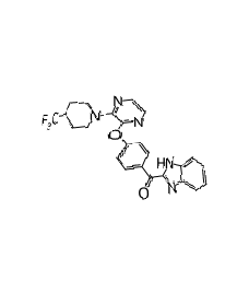 O=C(c1ccc(Oc2nccnc2N2CCC(C(F)(F)F)CC2)cc1)c1nc2ccccc2[nH]1